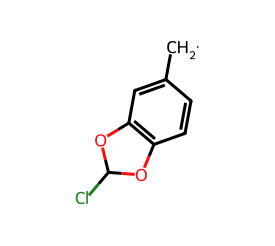 [CH2]c1ccc2c(c1)OC(Cl)O2